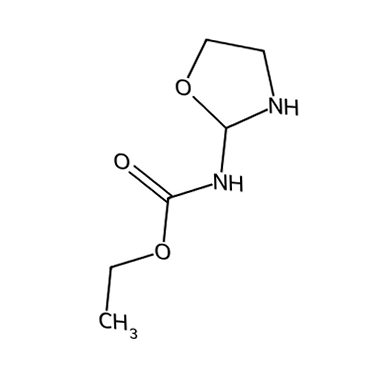 CCOC(=O)NC1NCCO1